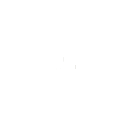 CCCCSP(C)(O)(OCC)OCC